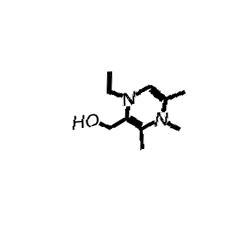 CCN1C=C(C)N(C)C(C)=C1CO